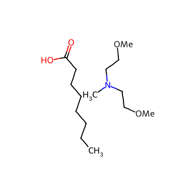 CCCCCCCC(=O)O.COCCN(C)CCOC